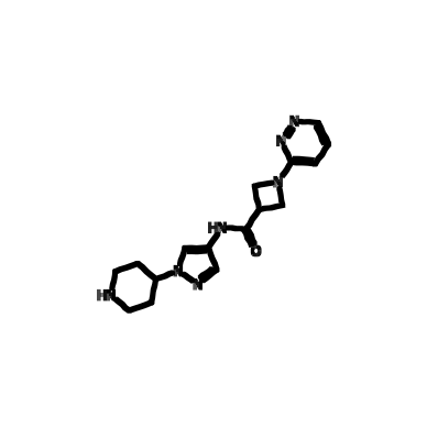 O=C(Nc1cnn(C2CCNCC2)c1)C1CN(c2cccnn2)C1